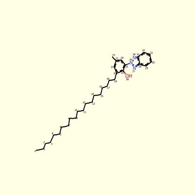 CCCCCCCCCCCCCCCCCCCCc1cc(C)cc(-n2nc3ccccc3n2)c1O